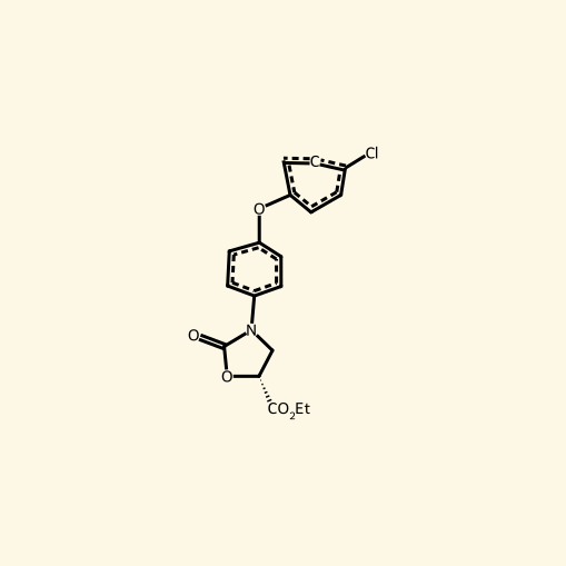 CCOC(=O)[C@H]1CN(c2ccc(Oc3ccc(Cl)cc3)cc2)C(=O)O1